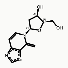 C=C1c2scnc2C=CN1[C@H]1C[C@@H](O)[C@@H](CO)O1